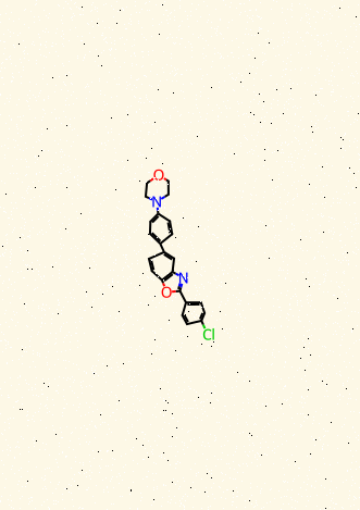 Clc1ccc(-c2nc3cc(-c4ccc(N5CCOCC5)cc4)ccc3o2)cc1